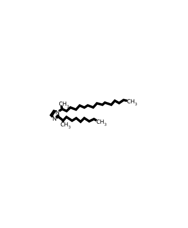 CCCCCCCCCCCCCCCC(C)n1ccnc1C(C)CCCCCCCC